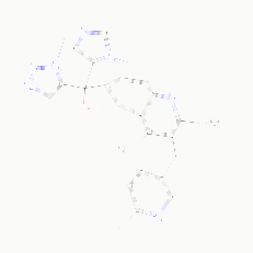 COc1nc2ccc(C(O)(c3cnnn3C)c3cnc(C)n3C)cc2c(C#N)c1Cc1ccc(C(F)(F)F)nc1